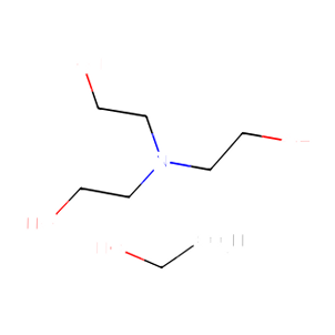 O=C(O)CO.OCCN(CCO)CCO